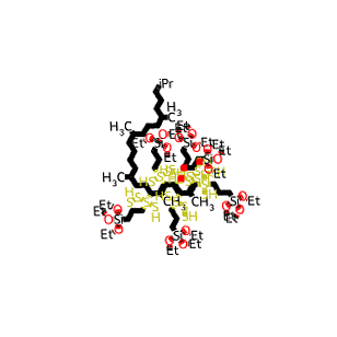 CCO[Si](CCCS(S)(SS)C(=C(C)C(CCC(C)CCCCC(C)CCCC(C)CCCC(C)C)S(S)(CCC[Si](OCC)(OCC)OCC)SS)C(=C(C(C)=C(S(S)(CCC[Si](OCC)(OCC)OCC)SS)S(S)(CCC[Si](OCC)(OCC)OCC)SS)S(S)(CCC[Si](OCC)(OCC)OCC)SS)S(S)(CCC[Si](OCC)(OCC)OCC)SS)(OCC)OCC